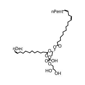 CCCCC/C=C\C/C=C\CCCCCCCCCC(=O)OC[C@H](COP(=O)(O)OC[C@@H](O)CO)OC(=O)CCCCCCCCC/C=C\CCCCCCCCCC